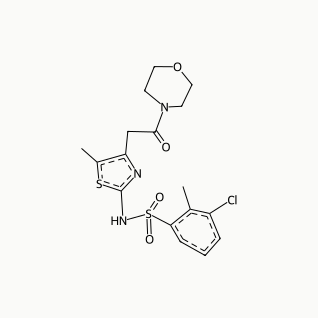 Cc1sc(NS(=O)(=O)c2cccc(Cl)c2C)nc1CC(=O)N1CCOCC1